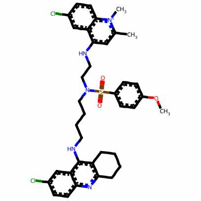 COc1ccc(S(=O)(=O)N(CCCCNc2c3c(nc4ccc(Cl)cc24)CCCC3)CCNc2cc(C)[n+](C)c3ccc(Cl)cc23)cc1